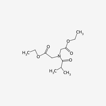 CCOC(=O)CN(CC(=O)OCC)C(=O)C(C)C